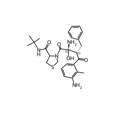 Cc1c(N)cccc1C(=O)[C@@H](Cc1ccccc1)[C@](N)(O)C(=O)N1CSCC1C(=O)NC(C)(C)C